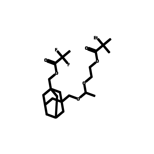 CCC(C)(C)C(=O)OCCOC(C)OCC12CC3CC(CC(COC(=O)C(C)(F)F)(C3)C1)C2